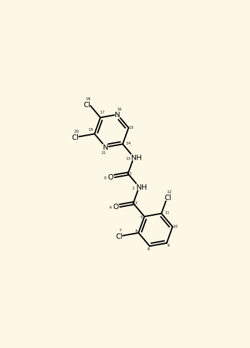 O=C(NC(=O)c1c(Cl)cccc1Cl)Nc1cnc(Cl)c(Cl)n1